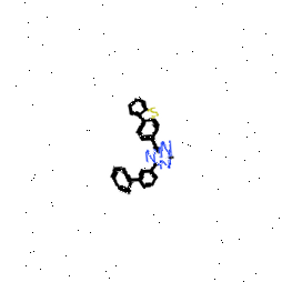 c1ccc(-c2cccc(-c3ncnc(-c4ccc5c(c4)sc4ccccc45)n3)c2)cc1